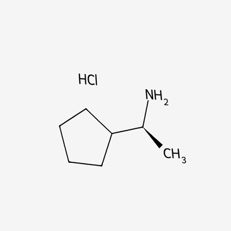 C[C@H](N)C1CCCC1.Cl